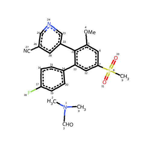 CN(C)C=O.COc1cc(S(C)(=O)=O)cc(-c2ccc(F)cc2)c1-c1cncc(C#N)c1